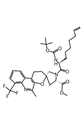 C=CCCCCC[C@H](NC(=O)OC(C)(C)C)C(=O)N1C[C@]2(CCc3c(c(C)nc4c(C(F)(F)F)cccc34)O2)C[C@H]1C(=O)OC